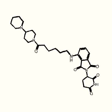 O=C1CCC(N2C(=O)c3cccc(NCCCCCC(=O)N4CCC(N5CCCCC5)CC4)c3C2=O)C(=O)N1